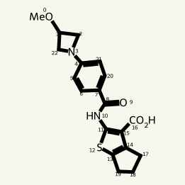 COC1CN(c2ccc(C(=O)Nc3sc4c(c3C(=O)O)CCC4)cc2)C1